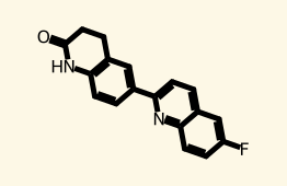 O=C1CCc2cc(-c3ccc4cc(F)ccc4n3)ccc2N1